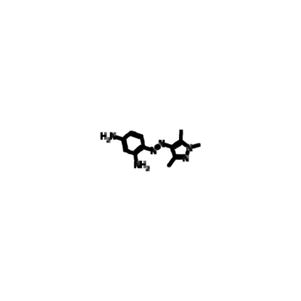 Cc1nn(C)c(C)c1N=Nc1ccc(N)cc1N